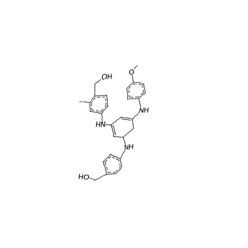 COc1ccc(NC2=CC(Nc3ccc(CO)c(C)c3)=CC(Nc3ccc(CO)cc3)C2)cc1